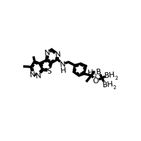 BC(B)(B)OC(C)(C)c1ccc(CNc2ncnc3c2sc2nnc(C)c(C)c23)cc1